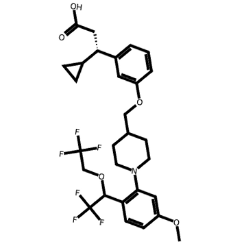 COc1ccc(C(OCC(F)(F)F)C(F)(F)F)c(N2CCC(COc3cccc([C@@H](CC(=O)O)C4CC4)c3)CC2)c1